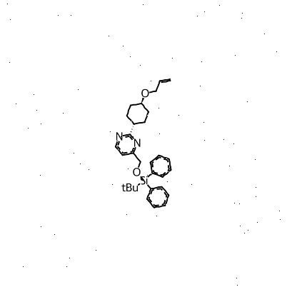 C=CCO[C@H]1CC[C@H](c2nccc(CO[Si](c3ccccc3)(c3ccccc3)C(C)(C)C)n2)CC1